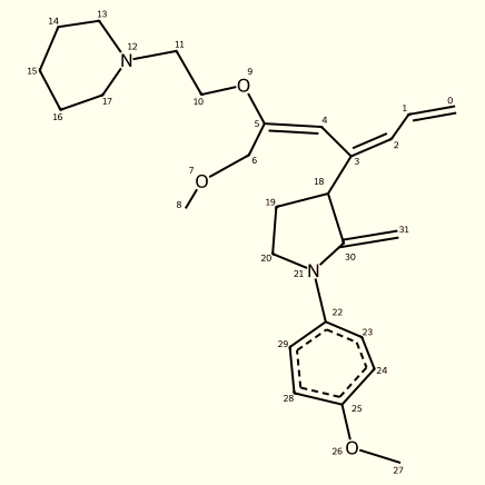 C=C/C=C(\C=C(/COC)OCCN1CCCCC1)C1CCN(c2ccc(OC)cc2)C1=C